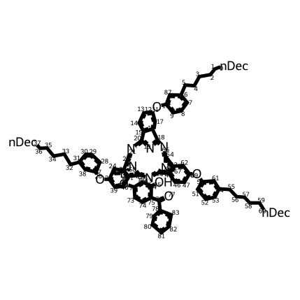 CCCCCCCCCCCCCCCc1cccc(Oc2ccc3c(c2)-c2nc-3nc3c4cc(Oc5cccc(CCCCCCCCCCCCCCC)c5)ccc4c(nc4c5ccc(Oc6cccc(CCCCCCCCCCCCCCC)c6)cc5c(n2)n4C)n3B(C)Oc2ccc(C(=O)c3ccccc3)c(O)c2)c1